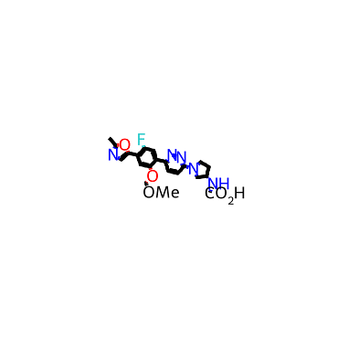 COCOc1cc(-c2cnc(C)o2)c(F)cc1-c1ccc(N2CC[C@@H](NC(=O)O)C2)nn1